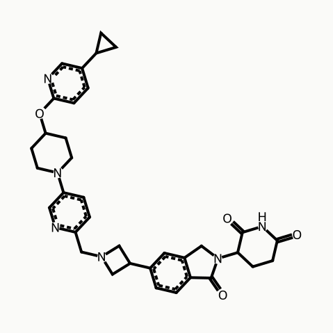 O=C1CCC(N2Cc3cc(C4CN(Cc5ccc(N6CCC(Oc7ccc(C8CC8)cn7)CC6)cn5)C4)ccc3C2=O)C(=O)N1